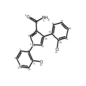 NC(=O)c1cn(-c2c[c]ncc2Cl)cc1-c1ccccc1Cl